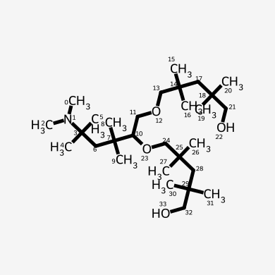 CN(C)C(C)(C)CC(C)(C)C(COCC(C)(C)CC(C)(C)CO)OCC(C)(C)CC(C)(C)CO